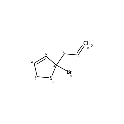 C=CCC1(Br)C=C[CH]S1